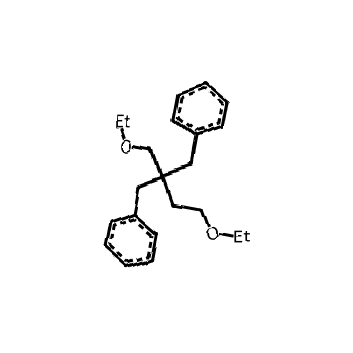 CCOCCC(COCC)(Cc1ccccc1)Cc1ccccc1